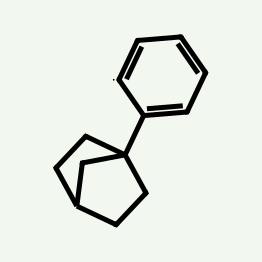 [c]1ccccc1C12CCC(CC1)C2